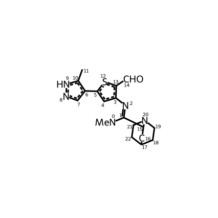 CN/C(=N\c1cc(-c2cn[nH]c2C)sc1C=O)C1CC2CCN1CC2